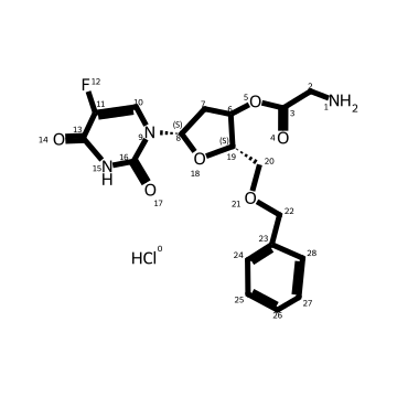 Cl.NCC(=O)OC1C[C@@H](n2cc(F)c(=O)[nH]c2=O)O[C@H]1COCc1ccccc1